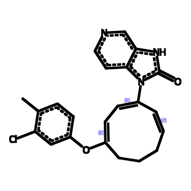 Cc1ccc(O/C2=C/C=C(n3c(=O)[nH]c4cnccc43)\C=C/CCC2)cc1Cl